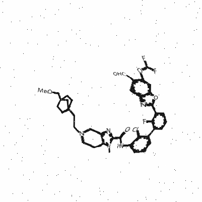 COCC12CCC(CCN3CCc4c(nc(C(=O)Nc5cccc(-c6cccc(-c7nc8cc(C=O)c(OC(F)F)cc8o7)c6F)c5Cl)n4C)C3)(CC1)C2